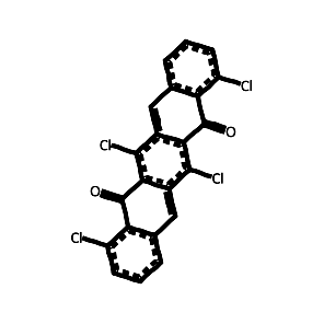 O=C1c2c(Cl)cccc2C=c2c(Cl)c3c(c(Cl)c21)=Cc1cccc(Cl)c1C3=O